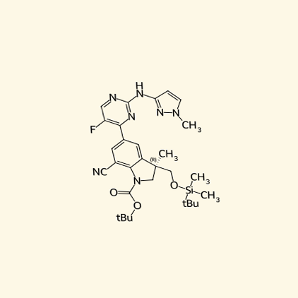 Cn1ccc(Nc2ncc(F)c(-c3cc(C#N)c4c(c3)[C@@](C)(CO[Si](C)(C)C(C)(C)C)CN4C(=O)OC(C)(C)C)n2)n1